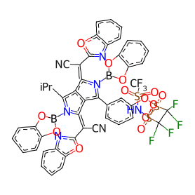 CC(C)c1c2/c(=C(\C#N)c3nc4ccccc4o3)n(B3Oc4ccccc4O3)c(-c3cccc(OS(=O)(=O)C(F)(F)C(F)(F)S(=O)(=O)NS(=O)(=O)C(F)(F)F)c3)c2/c(=C(\C#N)c2nc3ccccc3o2)n1B1Oc2ccccc2O1